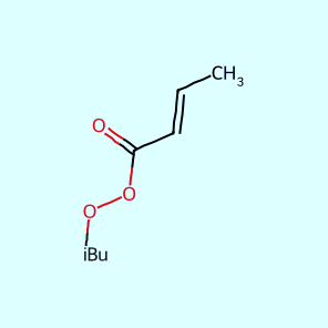 CC=CC(=O)OOC(C)CC